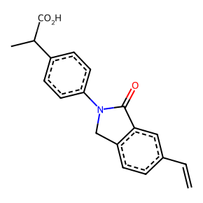 C=Cc1ccc2c(c1)C(=O)N(c1ccc(C(C)C(=O)O)cc1)C2